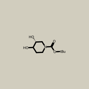 CC(C)(C)OC(=O)N1CCC(O)[C@H](O)C1